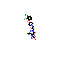 O=C(NC[C@@H](O)CN1CCC(Oc2cccc(Cl)c2Cl)CC1)c1sc(=O)[nH]c1CC(F)(F)F